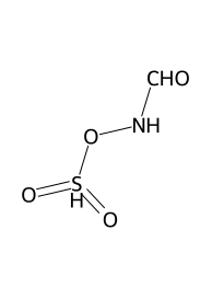 O=CNO[SH](=O)=O